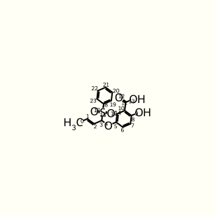 CC=CC(Oc1ccc(O)c(C(=O)O)c1)S(=O)(=O)c1ccccc1